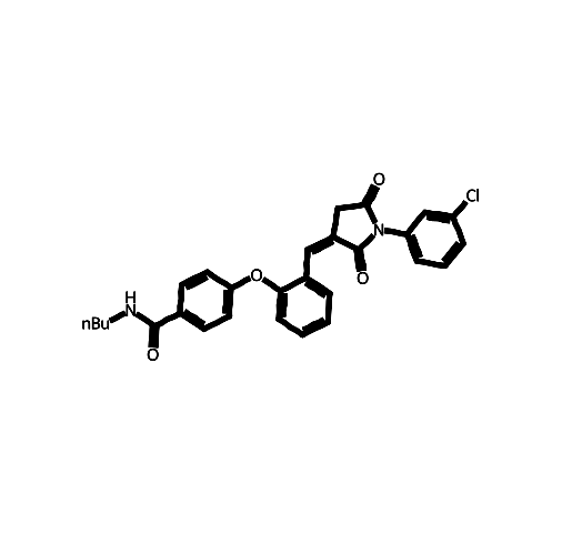 CCCCNC(=O)c1ccc(Oc2ccccc2/C=C2/CC(=O)N(c3cccc(Cl)c3)C2=O)cc1